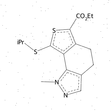 CCOC(=O)c1sc(SC(C)C)c2c1CCc1cnn(C)c1-2